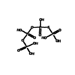 O=P(O)(O)OP(=O)(O)OP(=O)(O)SP(=O)(O)O